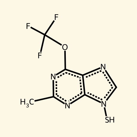 Cc1nc(OC(F)(F)F)c2ncn(S)c2n1